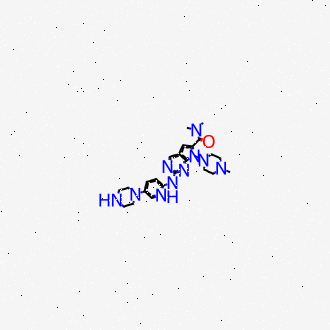 CN1CCN(n2c(C(=O)N(C)C)cc3cnc(Nc4ccc(N5CCNCC5)cn4)nc32)CC1